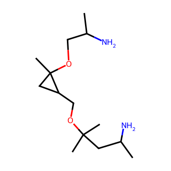 CC(N)COC1(C)CC1COC(C)(C)CC(C)N